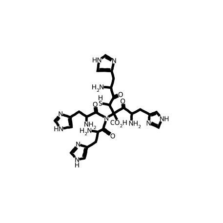 NC(Cc1c[nH]cn1)C(=O)C(S)C(C(=O)O)(C(=O)C(N)Cc1c[nH]cn1)N(C(=O)C(N)Cc1c[nH]cn1)C(=O)C(N)Cc1c[nH]cn1